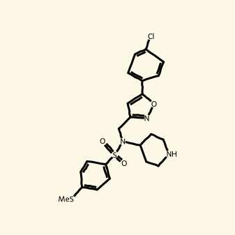 CSc1ccc(S(=O)(=O)N(Cc2cc(-c3ccc(Cl)cc3)on2)C2CCNCC2)cc1